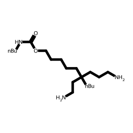 CCCCNC(=O)OCCCCCC(CCN)(CCCC)CCCN